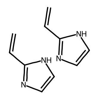 C=Cc1ncc[nH]1.C=Cc1ncc[nH]1